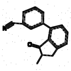 CC1Cc2cccc(-c3cccc(C#N)c3)c2C1=O